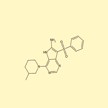 CC1CCCN(c2ncnc3c(S(=O)(=O)c4ccccc4)c(N)[nH]c23)C1